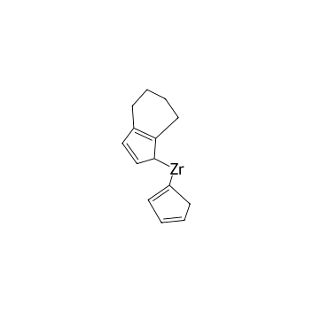 C1=CC[C]([Zr][CH]2C=CC3=C2CCCC3)=C1